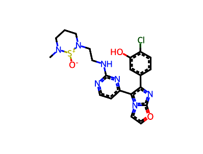 CN1CCCN(CCNc2nccc(-c3c(-c4ccc(Cl)c(O)c4)nc4occn34)n2)[S+]1[O-]